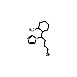 CC1CCCCC1C(CCCO)n1ccnc1